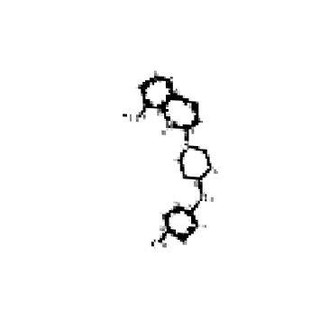 O=Cc1cccc2ccc(N3CCC(Oc4ccc(Cl)cc4)CC3)nc12